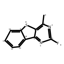 Cc1nc(F)nc2c1sc1ccccc12